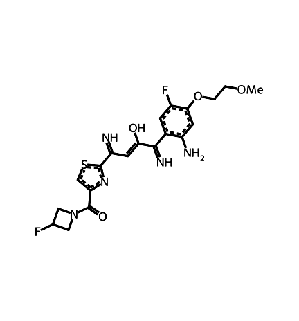 COCCOc1cc(N)c(C(=N)/C(O)=C/C(=N)c2nc(C(=O)N3CC(F)C3)cs2)cc1F